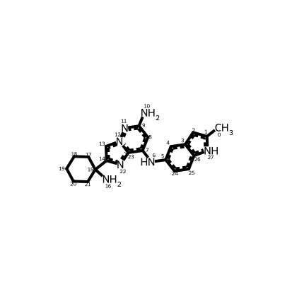 Cc1cc2cc(Nc3cc(N)nn4cc(C5(N)CCCCC5)nc34)ccc2[nH]1